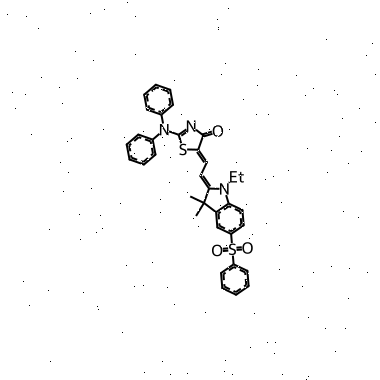 CCN1C(=CC=C2SC(N(c3ccccc3)c3ccccc3)=NC2=O)C(C)(C)c2cc(S(=O)(=O)c3ccccc3)ccc21